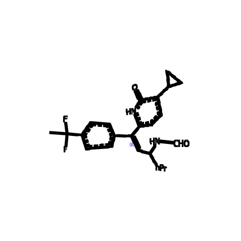 CCCC(/C=C(/c1ccc(C(C)(F)F)cc1)c1ccc(C2CC2)c(=O)[nH]1)NC=O